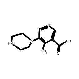 Cc1c(N2CCNCC2)[c]ncc1C(=O)O